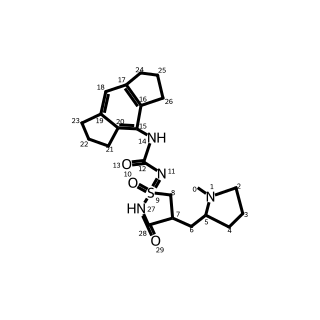 CN1CCCC1CC1CS(=O)(=NC(=O)Nc2c3c(cc4c2CCC4)CCC3)NC1=O